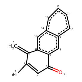 C=C1C(C(C)C)=CC(=O)c2cc3ccccc3cc21